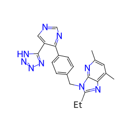 CCc1nc2c(C)cc(C)nc2n1Cc1ccc(-c2ncncc2-c2nnn[nH]2)cc1